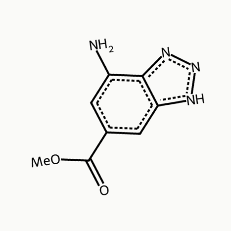 COC(=O)c1cc(N)c2nn[nH]c2c1